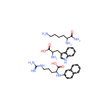 N=C(N)NCCCC(Nc1ccc2ccccc2c1)C(=O)O.NC(Cc1c[nH]c2ccccc12)C(=O)O.NCCCCC(N)C(N)=O